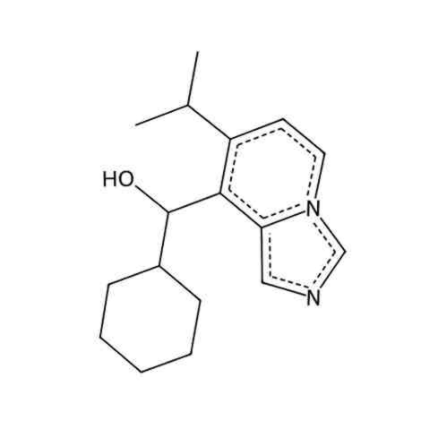 CC(C)c1ccn2cncc2c1C(O)C1CCCCC1